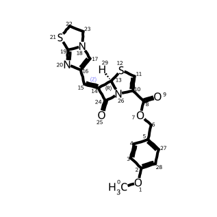 COc1ccc(COC(=O)C2=CS[C@@H]3/C(=C\c4cn5c(n4)SCC5)C(=O)N23)cc1